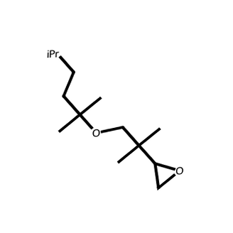 CC(C)CCC(C)(C)OCC(C)(C)C1CO1